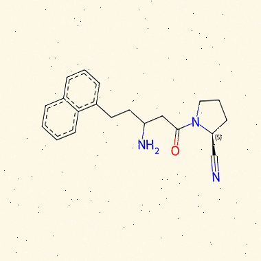 N#C[C@@H]1CCCN1C(=O)CC(N)CCc1cccc2ccccc12